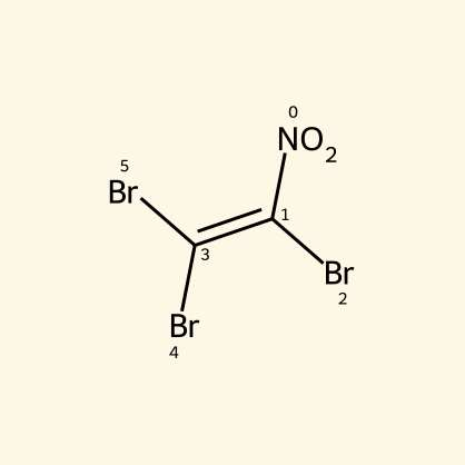 O=[N+]([O-])C(Br)=C(Br)Br